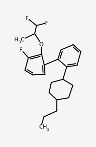 CCCC1CCC(c2ccccc2-c2cccc(F)c2OC(C)C(F)F)CC1